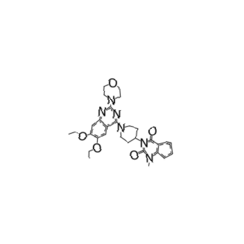 CCOc1cc2nc(N3CCOCC3)nc(N3CCC(n4c(=O)c5ccccc5n(C)c4=O)CC3)c2cc1OCC